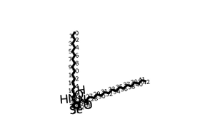 CCCCCCCCCCCCCCCCC(=O)Nc1c[se]cc1NC(=O)CCCCCCCCCCCCCCCC